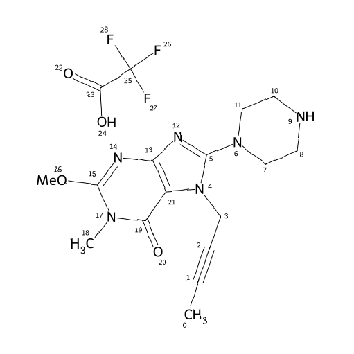 CC#CCn1c(N2CCNCC2)nc2nc(OC)n(C)c(=O)c21.O=C(O)C(F)(F)F